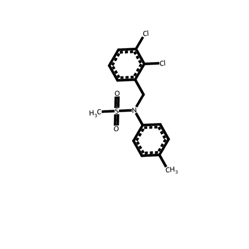 Cc1ccc(N(Cc2cccc(Cl)c2Cl)S(C)(=O)=O)cc1